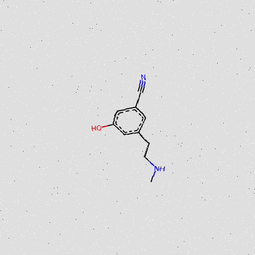 CNCCc1cc(O)cc(C#N)c1